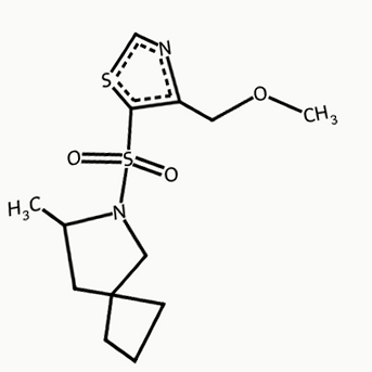 COCc1ncsc1S(=O)(=O)N1CC2(CCC2)CC1C